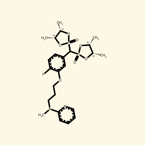 C[C@@H]1OP(=O)(C(c2ccc(F)c(OCCCN(C)c3ccccn3)c2)P2(=O)O[C@@H](C)[C@@H](C)O2)O[C@@H]1C